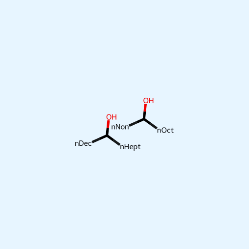 CCCCCCCCCC(O)CCCCCCCC.CCCCCCCCCCC(O)CCCCCCC